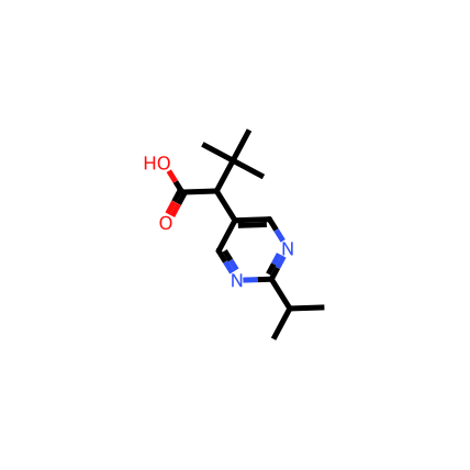 CC(C)c1ncc(C(C(=O)O)C(C)(C)C)cn1